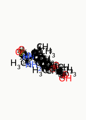 CC(C)[C@@H]1CC[C@]2(NC[C@H]([C@@H](C)N)N3CCS(=O)(=O)CC3)CC[C@]3(C)[C@H](CC[C@@H]4[C@@]5(C)CC[C@H](OC(=O)[C@H]6C[C@@H](C(=O)O)C6(C)C)C(C)(C)[C@@H]5CC[C@]43C)[C@@H]12